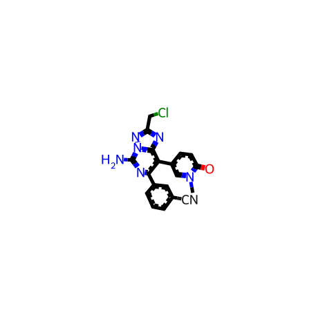 Cn1cc(-c2c(-c3cccc(C#N)c3)nc(N)n3nc(CCl)nc23)ccc1=O